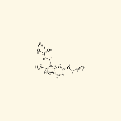 C#CCOc1ccc2[nH]c(N)c(CCC(=O)OC)c2c1